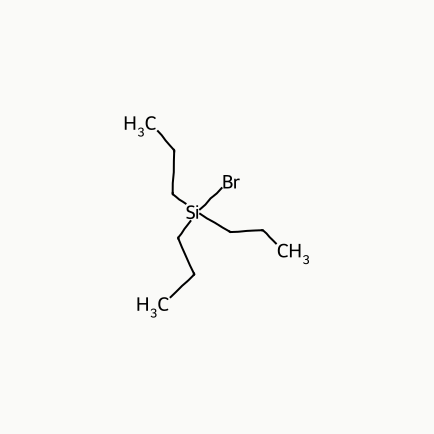 CCC[Si](Br)(CCC)CCC